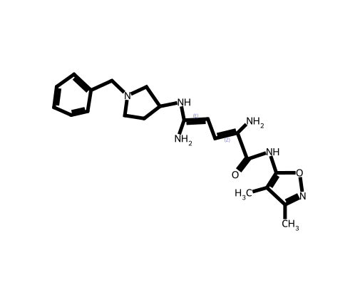 Cc1noc(NC(=O)/C(N)=C/C=C(\N)NC2CCN(Cc3ccccc3)C2)c1C